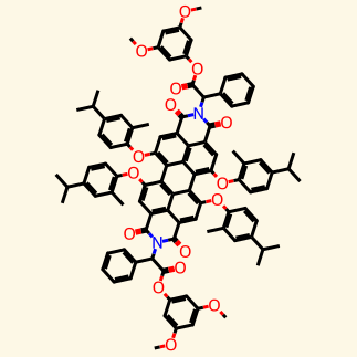 COc1cc(OC)cc(OC(=O)C(c2ccccc2)N2C(=O)c3cc(Oc4ccc(C(C)C)cc4C)c4c5c(Oc6ccc(C(C)C)cc6C)cc6c7c(cc(Oc8ccc(C(C)C)cc8C)c(c8c(Oc9ccc(C(C)C)cc9C)cc(c3c48)C2=O)c75)C(=O)N(C(C(=O)Oc2cc(OC)cc(OC)c2)c2ccccc2)C6=O)c1